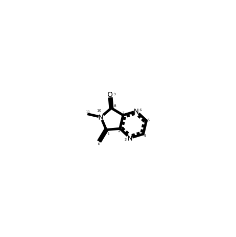 C=C1c2nccnc2C(=O)N1C